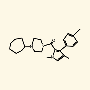 Cc1ccc(-c2c(C)cn(C)c2C(=O)N2CCN(C3CCCCCC3)CC2)cc1